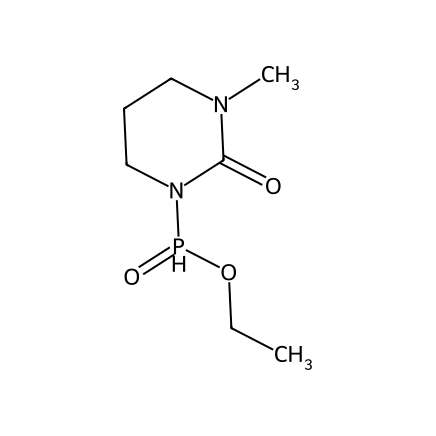 CCO[PH](=O)N1CCCN(C)C1=O